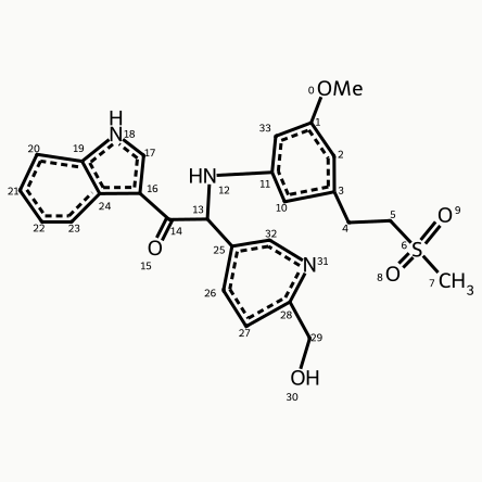 COc1cc(CCS(C)(=O)=O)cc(NC(C(=O)c2c[nH]c3ccccc23)c2ccc(CO)nc2)c1